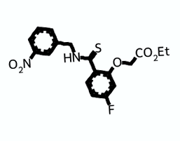 CCOC(=O)COc1cc(F)ccc1C(=S)NCc1cccc([N+](=O)[O-])c1